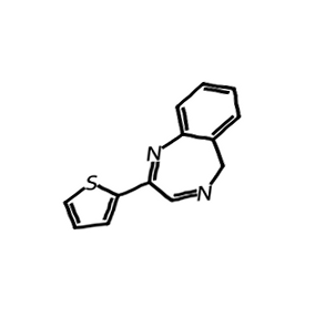 C1=NCc2ccccc2N=C1c1cccs1